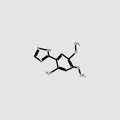 COc1cc(N)c(-c2ncn[nH]2)cc1OC